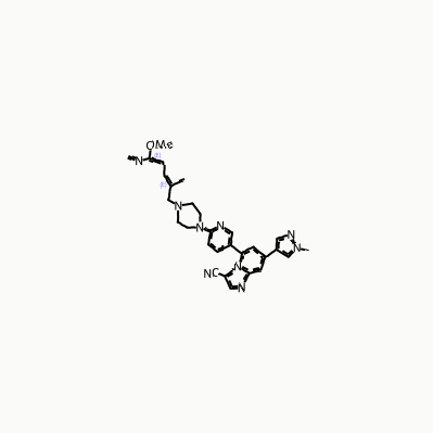 C=N/C(=C\C=C(/C)CN1CCN(c2ccc(-c3cc(-c4cnn(C)c4)cc4ncc(C#N)n34)cn2)CC1)OC